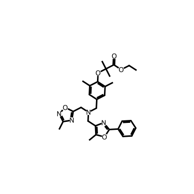 CCOC(=O)C(C)(C)Oc1c(C)cc(CN(Cc2nc(C)no2)Cc2nc(-c3ccccc3)oc2C)cc1C